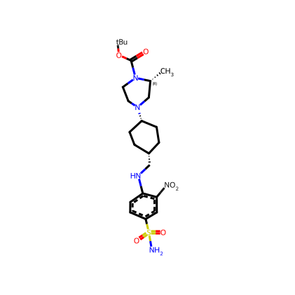 C[C@@H]1CN([C@H]2CC[C@@H](CNc3ccc(S(N)(=O)=O)cc3[N+](=O)[O-])CC2)CCN1C(=O)OC(C)(C)C